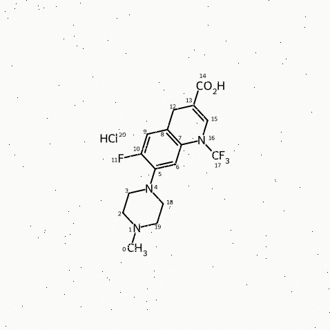 CN1CCN(c2cc3c(cc2F)CC(C(=O)O)=CN3C(F)(F)F)CC1.Cl